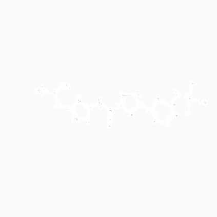 CC(C)Oc1nsc(NC(=O)c2coc(-c3cccc(OC(F)(F)F)c3)c2)n1